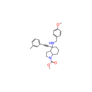 COC(=O)N1CCC2C1CCCC2(C#Cc1cccc(C)c1)NCc1ccc(OC)cc1